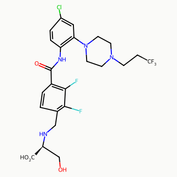 O=C(Nc1ccc(Cl)cc1N1CCN(CCC(F)(F)F)CC1)c1ccc(CN[C@@H](CO)C(=O)O)c(F)c1F